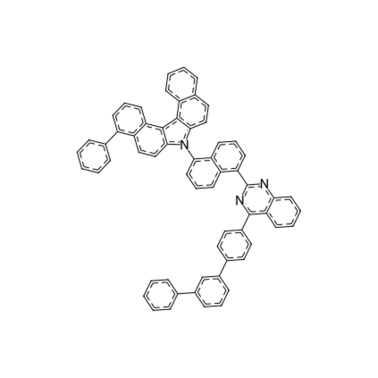 c1ccc(-c2cccc(-c3ccc(-c4nc(-c5cccc6c(-n7c8ccc9ccccc9c8c8c9cccc(-c%10ccccc%10)c9ccc87)cccc56)nc5ccccc45)cc3)c2)cc1